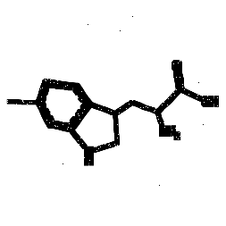 Cc1ccc2c(c1)NCC2CC(N)C(=O)O